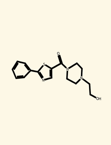 O=C(c1cnc(-c2ccccc2)s1)N1CCN(CCO)CC1